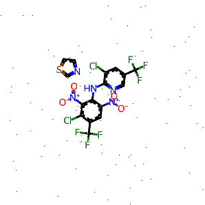 O=[N+]([O-])c1cc(C(F)(F)F)c(Cl)c([N+](=O)[O-])c1Nc1ncc(C(F)(F)F)cc1Cl.c1cscn1